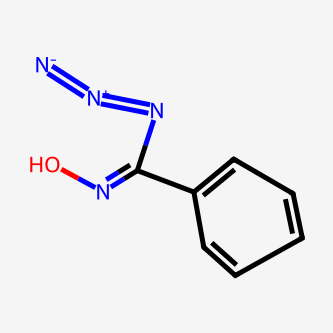 [N-]=[N+]=NC(=NO)c1ccccc1